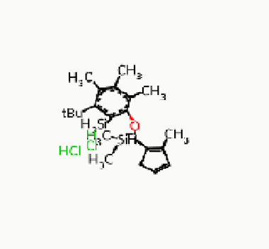 CC1=[C]([Ti]([O]c2c(C)c(C)c(C)c(C(C)(C)C)c2[SiH3])[SiH](C)C)CC=C1.Cl.Cl